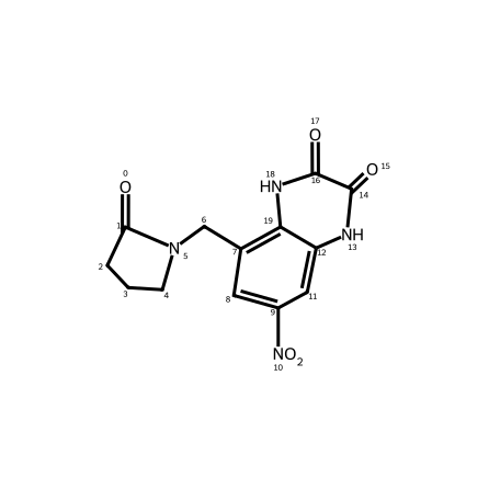 O=C1CCCN1Cc1cc([N+](=O)[O-])cc2[nH]c(=O)c(=O)[nH]c12